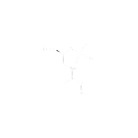 CCOC(=O)[C@H](CNC(=O)OC(C)(C)C)NS(=O)(=O)C(C)CC